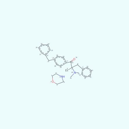 C1COCCN1.CCC(Cc1ccccc1)(C(=O)c1ccc(Cc2ccccc2)cc1)N(C)C